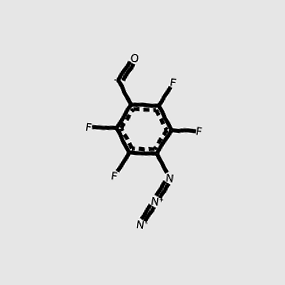 [N-]=[N+]=Nc1c(F)c(F)c([C]=O)c(F)c1F